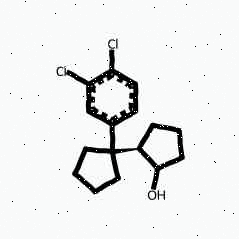 OC1CCC[C@@H]1C1(c2ccc(Cl)c(Cl)c2)CCCC1